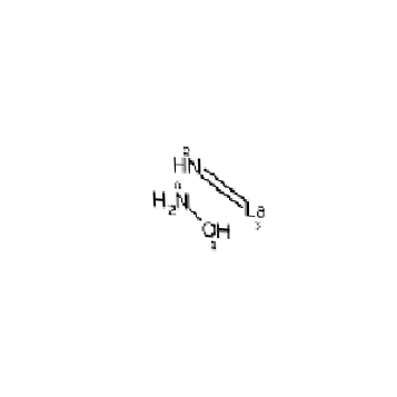 NO.[NH]=[La]